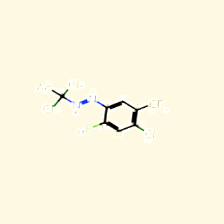 CC(=O)C(Cl)(Cl)/N=N/c1cc(C(F)(F)F)c(Cl)cc1F